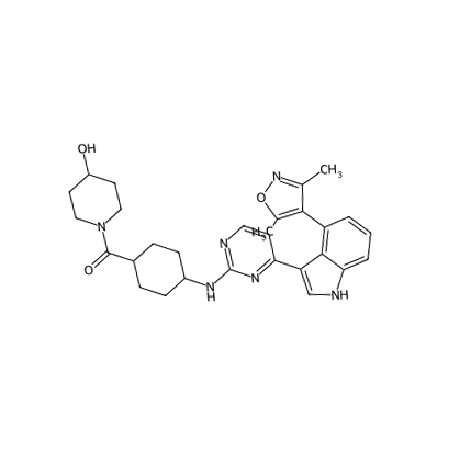 Cc1noc(C)c1-c1cccc2[nH]cc(-c3ccnc(NC4CCC(C(=O)N5CCC(O)CC5)CC4)n3)c12